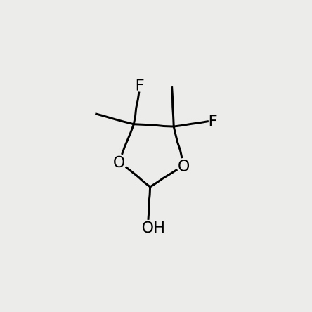 CC1(F)OC(O)OC1(C)F